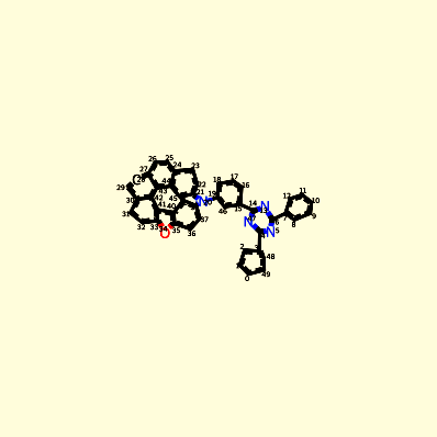 c1ccc(-c2nc(-c3ccccc3)nc(-c3cccc(-n4c5ccc6ccc7ccc8ccc9oc%10ccc4c4c%10c9c8c7c6c45)c3)n2)cc1